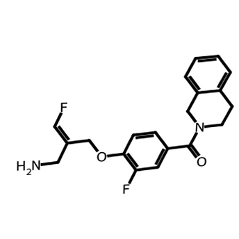 NC/C(=C/F)COc1ccc(C(=O)N2CCc3ccccc3C2)cc1F